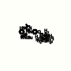 BC1(B)N(CCOc2ccc(Nc3ncc(C)c(Nc4cccc(S(=O)(=O)NC(C)(C)C)c4)n3)cc2)C(B)(B)C(B)(B)C1(B)B